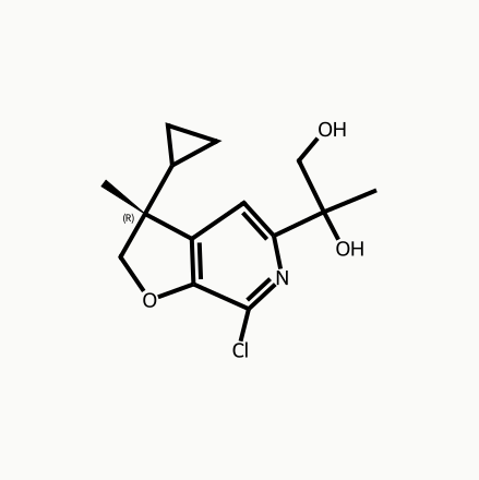 CC(O)(CO)c1cc2c(c(Cl)n1)OC[C@]2(C)C1CC1